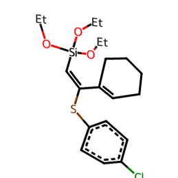 CCO[Si](C=C(Sc1ccc(Cl)cc1)C1=CCCCC1)(OCC)OCC